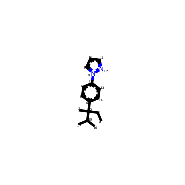 CCC(C)(c1ccc(-n2cccn2)cc1)C(C)C